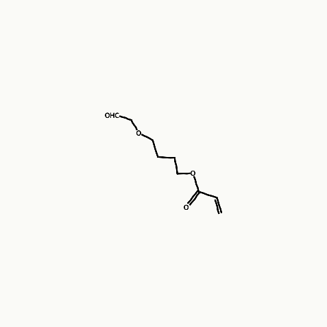 C=CC(=O)OCCCCOCC=O